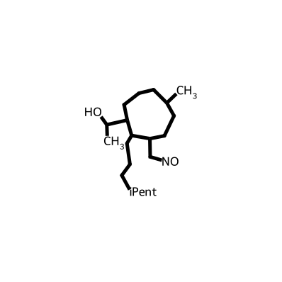 CCCC(C)CCCC1C(CN=O)CCC(C)CCCC1C(C)O